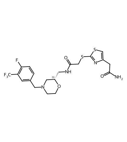 NC(=O)Cc1csc(SCC(=O)NC[C@H]2CN(Cc3ccc(F)c(C(F)(F)F)c3)CCO2)n1